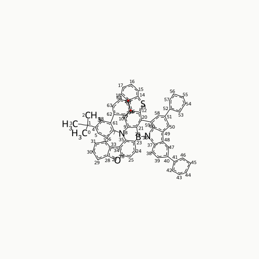 CC(C)(C)c1ccc(N2c3cc4c(sc5ccccc54)c4c3B(c3ccc5oc6ccccc6c5c32)n2c3ccc(-c5ccccc5)cc3c3cc(-c5ccccc5)cc-4c32)c(-c2ccccc2)c1